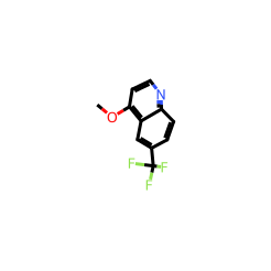 COc1ccnc2ccc(C(F)(F)F)cc12